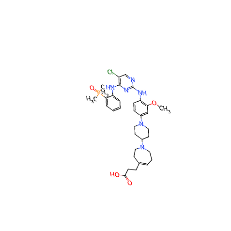 COc1cc(N2CCC(N3CCC=C(CCC(=O)O)CC3)CC2)ccc1Nc1ncc(Cl)c(Nc2ccccc2P(C)(C)=O)n1